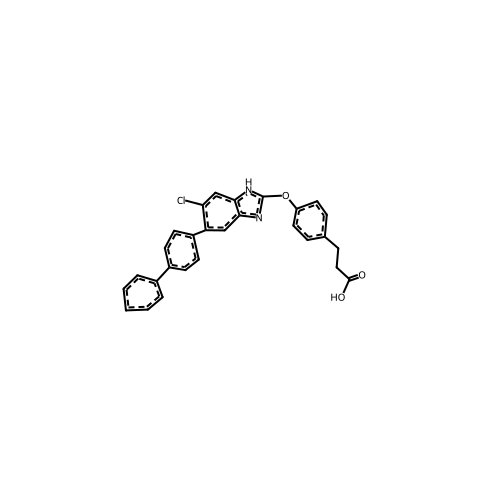 O=C(O)CCc1ccc(Oc2nc3cc(-c4ccc(-c5ccccc5)cc4)c(Cl)cc3[nH]2)cc1